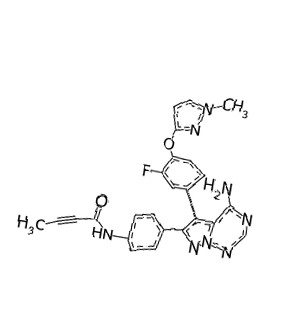 CC#CC(=O)Nc1ccc(-c2nn3ncnc(N)c3c2-c2ccc(Oc3ccn(C)n3)c(F)c2)cc1